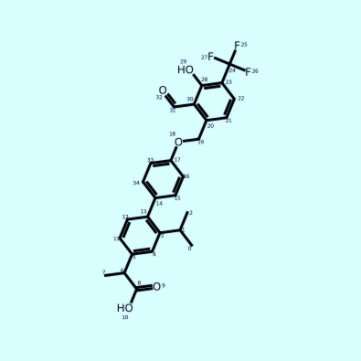 CC(C)c1cc(C(C)C(=O)O)ccc1-c1ccc(OCc2ccc(C(F)(F)F)c(O)c2C=O)cc1